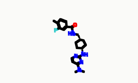 Cc1ccc(C(=O)NC[C@H]2CC[C@@H](Nc3nccc(N(C)C)n3)CC2)cc1F